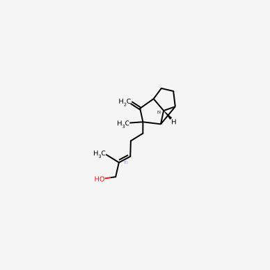 C=C1C2CCC3C([C@H]23)C1(C)CC/C=C(\C)CO